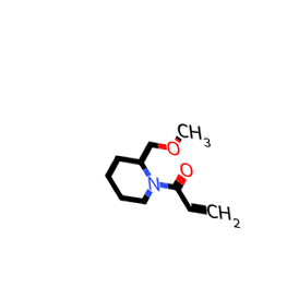 C=CC(=O)N1CCCCC1COC